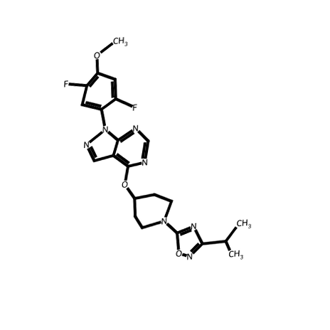 COc1cc(F)c(-n2ncc3c(OC4CCN(c5nc(C(C)C)no5)CC4)ncnc32)cc1F